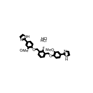 COc1cc(-c2ncc[nH]2)ccc1OCc1cccc(COc2ccc(-c3ncc[nH]3)cc2OC)c1F.Cl.Cl